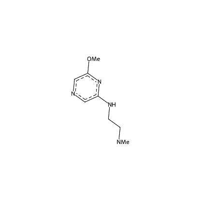 CNCCNc1cncc(OC)n1